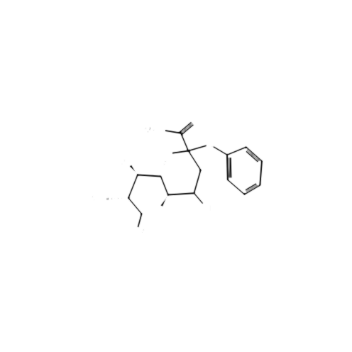 COC(=O)C1(Sc2ccccc2)CC(C)[C@@H](C)[C@H]([C@H](C)[C@H](COC(C)=O)OC(C)=O)O1